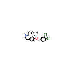 C[C@H](Cc1ccc(OCc2ccc(Cl)c(Cl)c2)cc1)N(C)CC(=O)O